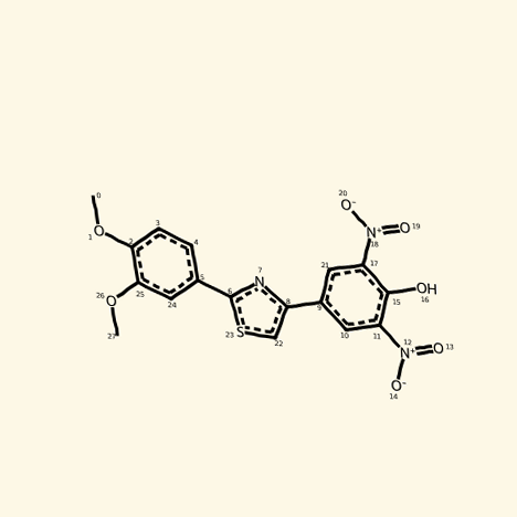 COc1ccc(-c2nc(-c3cc([N+](=O)[O-])c(O)c([N+](=O)[O-])c3)cs2)cc1OC